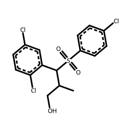 CC(CO)C(c1cc(Cl)ccc1Cl)S(=O)(=O)c1ccc(Cl)cc1